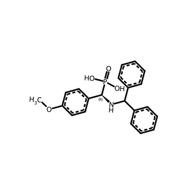 COc1ccc([C@H](NC(c2ccccc2)c2ccccc2)P(=O)(O)O)cc1